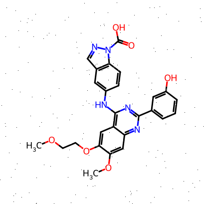 COCCOc1cc2c(Nc3ccc4c(cnn4C(=O)O)c3)nc(-c3cccc(O)c3)nc2cc1OC